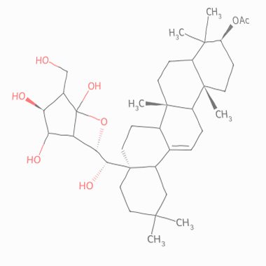 CC(=O)O[C@H]1CC[C@@]2(C)C(CC[C@@]3(C)C4CC[C@@]5([C@H](O)[C@H]6OC7(O)C(CO)[C@H](O)C(O)C67)CCC(C)(C)CC5C4=CCC32)C1(C)C